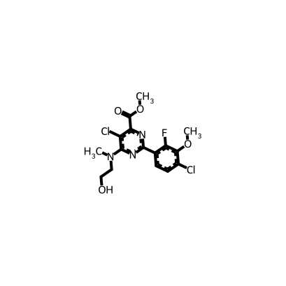 COC(=O)c1nc(-c2ccc(Cl)c(OC)c2F)nc(N(C)CCO)c1Cl